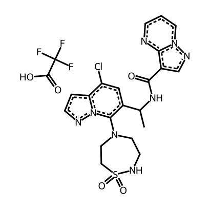 CC(NC(=O)c1cnn2cccnc12)c1cc(Cl)c2ccnn2c1N1CCNS(=O)(=O)CC1.O=C(O)C(F)(F)F